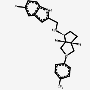 Fc1ccc2[nH]c(CN[C@H]3CC[C@@H]4CN(c5ccc(C(F)(F)F)cc5)C[C@@H]43)cc2c1